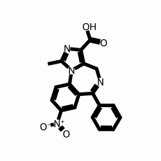 Cc1nc(C(=O)O)c2n1-c1ccc([N+](=O)[O-])cc1C(c1ccccc1)=NC2